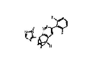 Cn1ncnc1[C@@]12CC[C@@H](c3cc(-c4c(F)cccc4F)nnc31)C2(C)C